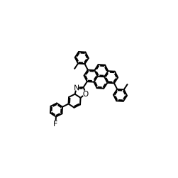 Cc1ccccc1-c1ccc2ccc3c(-c4ccccc4C)cc(C4=NC5C=C(c6cccc(F)c6)C=CC5O4)c4ccc1c2c43